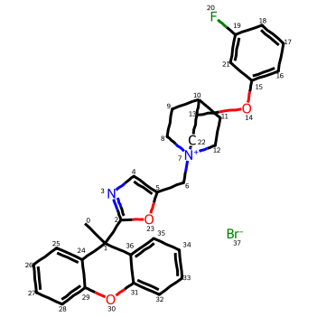 CC1(c2ncc(C[N+]34CCC(CC3)C(Oc3cccc(F)c3)C4)o2)c2ccccc2Oc2ccccc21.[Br-]